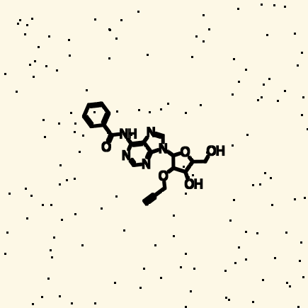 C#CCOC1C(O)C(CO)OC1n1cnc2c(NC(=O)c3ccccc3)ncnc21